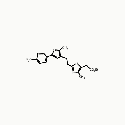 CCOC(=O)Cc1oc(CCc2cc(-c3ccc(C(F)(F)F)cc3)oc2C)nc1C